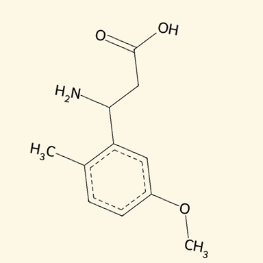 COc1ccc(C)c(C(N)CC(=O)O)c1